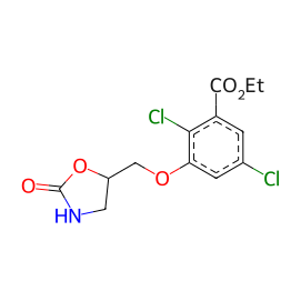 CCOC(=O)c1cc(Cl)cc(OCC2CNC(=O)O2)c1Cl